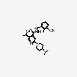 Cc1c(C#N)cccc1[C@@H](C)Nc1nnc(C)c2cnc(N3CCC(N(C)C)CC3)cc12